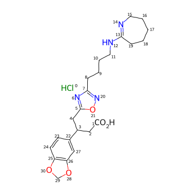 Cl.O=C(O)CC(Cc1nc(CCCCNC2=NCCCCC2)no1)c1ccc2c(c1)OCO2